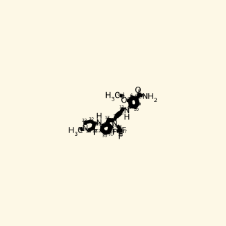 CCOc1cc(C(N)=O)ccc1NCC#Cc1cc2c(N[C@@H]3CCN(C)C[C@@H]3F)cccc2n1CC(F)(F)F